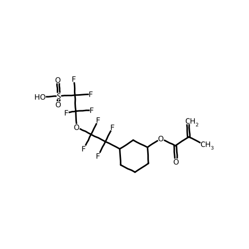 C=C(C)C(=O)OC1CCCC(C(F)(F)C(F)(F)OC(F)(F)C(F)(F)S(=O)(=O)O)C1